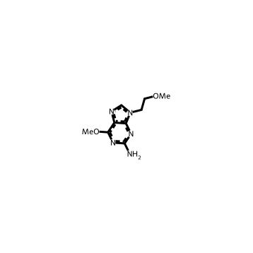 [CH2]OCCn1cnc2c(OC)nc(N)nc21